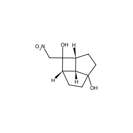 O=[N+]([O-])CC1(O)[C@@H]2CCC3(O)CC[C@H]1[C@H]23